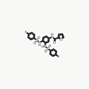 O=C(Nc1ccc(NS(=O)(=O)c2ccc(F)cc2)c(NS(=O)(=O)c2ccc(F)cc2)c1)c1ccco1